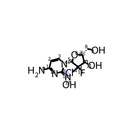 Nc1ccn([C@@H]2O[C@H](CO)[C@@H](O)[C@]2(F)Cl)/c(=N/O)n1